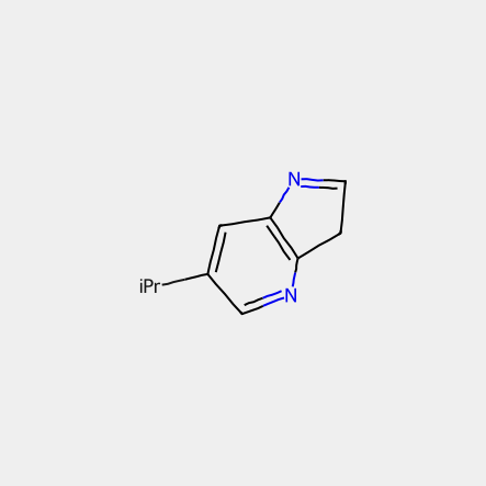 CC(C)c1cnc2c(c1)N=CC2